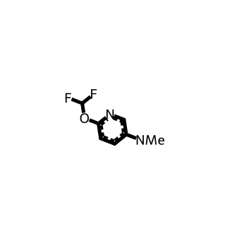 CNc1ccc(OC(F)F)nc1